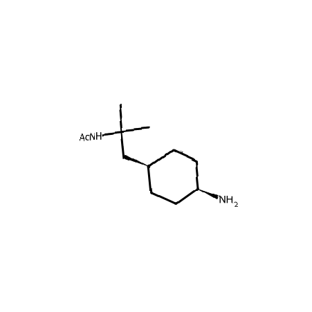 CC(=O)NC(C)(C)C[C@H]1CC[C@@H](N)CC1